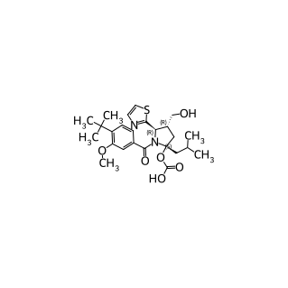 COc1cc(C(=O)N2[C@@H](c3nccs3)[C@H](CO)C[C@]2(CC(C)C)OC(=O)O)ccc1C(C)(C)C